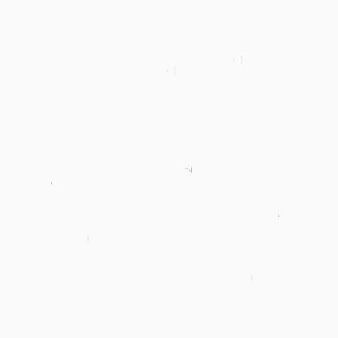 Clc1cc[c]([Bi]([c]2ccc(Cl)c(Cl)c2)[c]2ccc(Cl)c(Cl)c2)cc1Cl